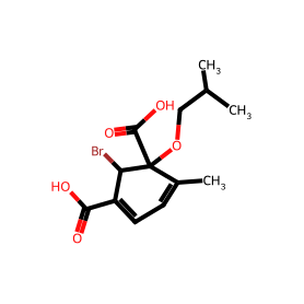 CC1=CC=C(C(=O)O)C(Br)C1(OCC(C)C)C(=O)O